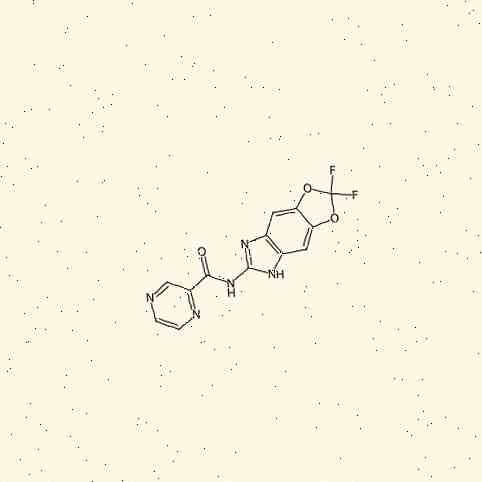 O=C(Nc1nc2cc3c(cc2[nH]1)OC(F)(F)O3)c1cnccn1